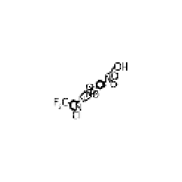 O=C1OC(CO)CN1c1ccc(S(=O)(=O)N2CCN(c3cc(C(F)(F)F)cc(Cl)n3)CC2)cc1